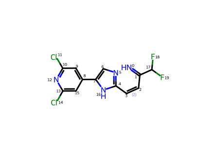 N=C(/C=C\c1ncc(-c2cc(Cl)nc(Cl)c2)[nH]1)C(F)F